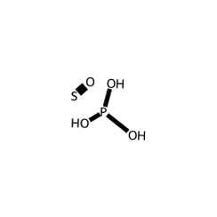 O=S.OP(O)O